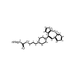 CCCCCCCC(=O)OCCCN1CCN(C2=Cc3ccccc3Sc3sccc32)CC1